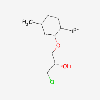 CC1CCC(C(C)C)C(OC[C@H](O)CCl)C1